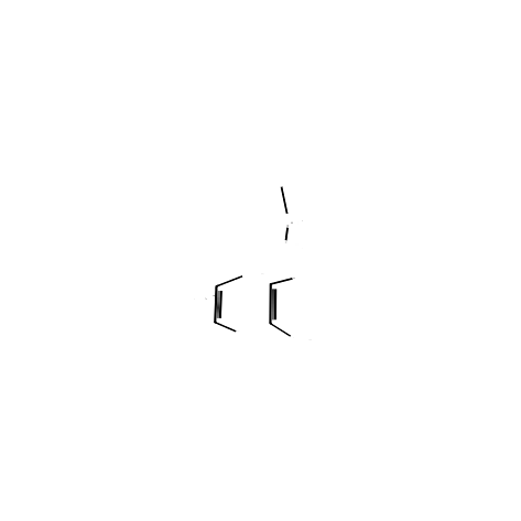 CCC[CH2][Sn+2][CH2]CCC.O=C([O-])/C=C\C(=O)[O-].O=C([O-])/C=C\C(=O)[O-].[Ca+2]